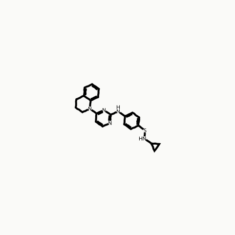 c1ccc2c(c1)CCCN2c1ccnc(Nc2ccc(SNC3CC3)cc2)n1